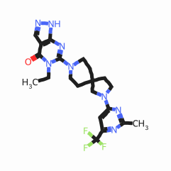 CCn1c(N2CCC3(CCN(c4cc(C(F)(F)F)nc(C)n4)C3)CC2)nc2[nH]ncc2c1=O